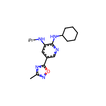 Cc1noc(-c2cnc(NC3CCCCC3)c(NC(C)C)c2)n1